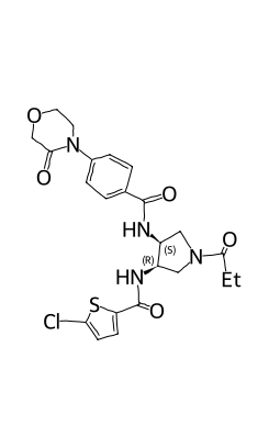 CCC(=O)N1C[C@H](NC(=O)c2ccc(N3CCOCC3=O)cc2)[C@H](NC(=O)c2ccc(Cl)s2)C1